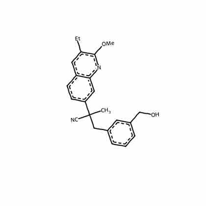 CCc1cc2ccc(C(C)(C#N)Cc3cccc(CO)c3)cc2nc1OC